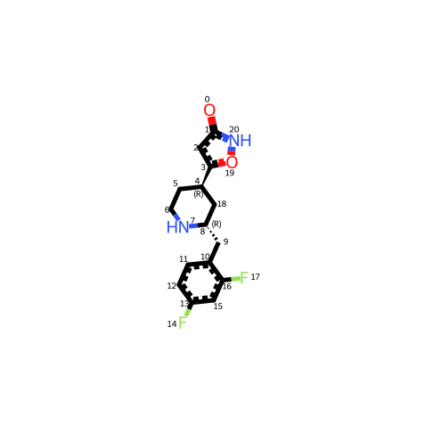 O=c1cc([C@@H]2CCN[C@@H](Cc3ccc(F)cc3F)C2)o[nH]1